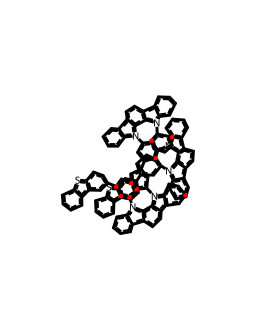 c1ccc(-n2c3ccccc3c3ccc4c5ccccc5n(-c5cc(-c6cccc(-n7c8ccccc8c8ccc9c%10ccccc%10n(-c%10cccc(-c%11ccc%12sc%13ccccc%13c%12c%11)c%10)c9c87)c6)cc(-n6c7ccccc7c7ccc8c9ccccc9n(-c9cccc(-c%10ccc%11c(c%10)sc%10ccccc%10%11)c9)c8c76)c5)c4c32)cc1